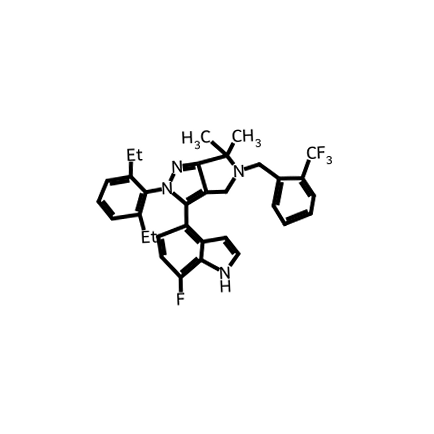 CCc1cccc(CC)c1-n1nc2c(c1-c1ccc(F)c3[nH]ccc13)CN(Cc1ccccc1C(F)(F)F)C2(C)C